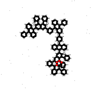 c1ccc(-c2c3ccccc3c(-c3cccc(-c4cc5cc(-c6c7ccccc7c(-c7ccccc7)c7ccccc67)c6oc7ccccc7c6c5c5c4oc4ccccc45)c3)c3cc(-c4ccc(-c5c6ccccc6c(-c6cc7cc(-c8ccccc8-c8c9ccccc9c(-c9ccccc9)c9ccccc89)c8oc9ccccc9c8c7c7c6oc6ccccc67)c6ccccc56)cc4)ccc23)cc1